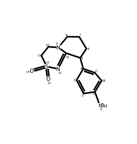 CC(C)(C)c1ccc(C2CCCN3CCS(=O)(=O)N=C23)cc1